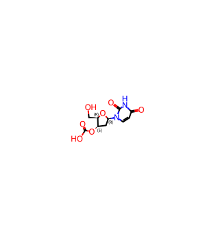 O=C(O)O[C@H]1C[C@H](n2ccc(=O)[nH]c2=O)O[C@@H]1CO